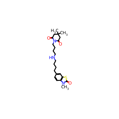 Cn1c(=O)sc2cc(CCCCNCCCCN3C(=O)CC(C)(C)CC3=O)ccc21